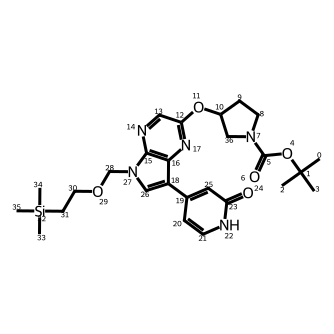 CC(C)(C)OC(=O)N1CCC(Oc2cnc3c(n2)c(-c2cc[nH]c(=O)c2)cn3COCC[Si](C)(C)C)C1